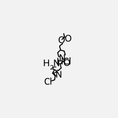 CC(=O)OCCC1CCN(C(=O)C(N)Cc2nc(CCl)cs2)CC1.Cl